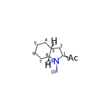 CC(=O)[C@@H]1C[C@H]2CCCC[C@H]2N1I